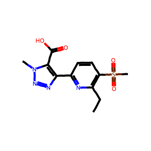 CCc1nc(-c2nnn(C)c2C(=O)O)ccc1S(C)(=O)=O